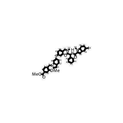 COC(=O)c1ccc(CN2C=CC3C=CC(Sc4ccc(CN(C)C(=O)C(NC(=O)C5=CC6C=C(I)C=CC6N5C)c5ccccc5)cc4)=CC32)c(OC)c1